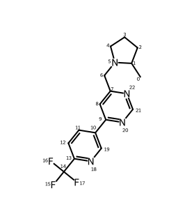 CC1CCCN1Cc1cc(-c2ccc(C(F)(F)F)nc2)ncn1